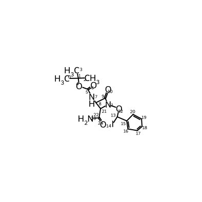 CC(C)(C)OC(=O)NC1C(=O)N(OC(I)c2ccccc2)C1C(N)=O